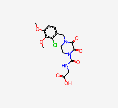 COc1ccc(CN2CCN(C(=O)NCC(=O)O)C(=O)C2=O)c(Cl)c1OC